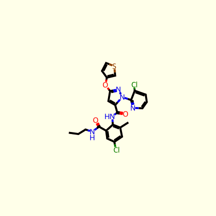 CCCNC(=O)c1cc(Cl)cc(C)c1NC(=O)c1cc(Oc2ccsc2)nn1-c1ncccc1Cl